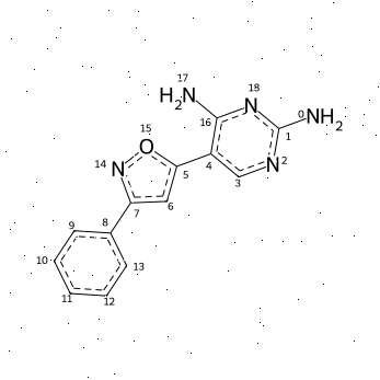 Nc1ncc(-c2cc(-c3ccccc3)no2)c(N)n1